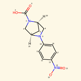 O=C(O)N1C[C@H]2C[C@@H]1CN2c1ccc([N+](=O)[O-])cc1